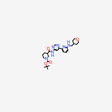 CC(C)(C)OC(=O)N1CCCC(C(=O)Nc2cc(-c3cccc(NCC4CCOCC4)n3)ncn2)C1